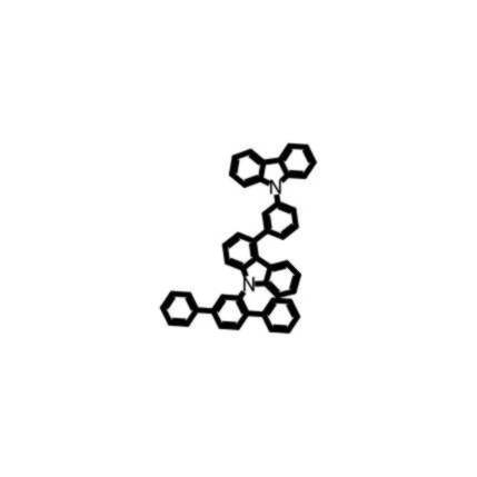 c1ccc(-c2ccc(-c3ccccc3)c(-n3c4ccccc4c4c(-c5cccc(-n6c7ccccc7c7ccccc76)c5)cccc43)c2)cc1